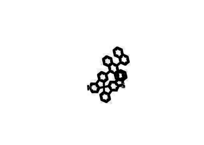 c1ccc2c(c1)-c1cc3sc4ccccc4c3cc1C21c2ccncc2-c2ccc(-c3c4ccccc4c(-c4cccc5ccccc45)c4ccccc34)cc21